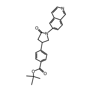 CC(C)(C)OC(=O)c1ccc(C2CC(=O)N(c3ccc4cnccc4c3)C2)cc1